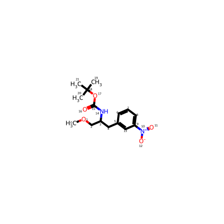 COCC(Cc1cccc([N+](=O)[O-])c1)NC(=O)OC(C)(C)C